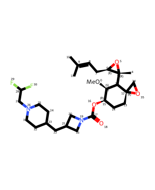 CO[C@H]1C([C@@]2(C)O[C@@H]2CC=C(C)C)[C@]2(CC[C@H]1OC(=O)N1CC(CC3CCN(CC(F)F)CC3)C1)CO2